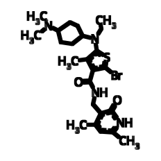 CCN(c1sc(Br)c(C(=O)NCc2c(C)cc(C)[nH]c2=O)c1C)C1CCC(N(C)C)CC1